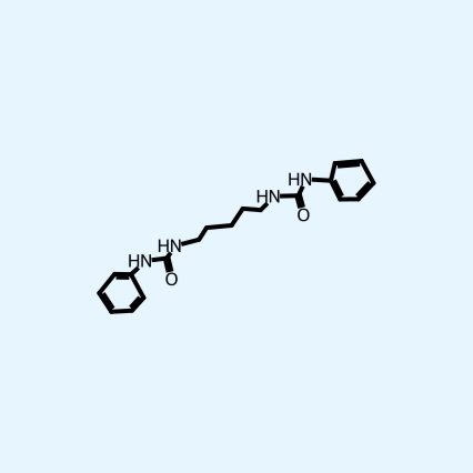 O=C(NCCCCCNC(=O)Nc1ccccc1)Nc1ccccc1